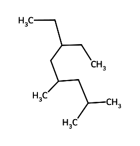 CCC(CC)CC(C)CC(C)C